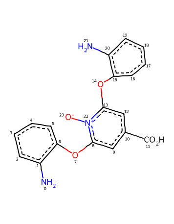 Nc1ccccc1Oc1cc(C(=O)O)cc(Oc2ccccc2N)[n+]1[O-]